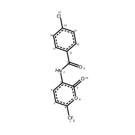 O=C(Nc1ccc(C(F)(F)F)oc1=O)c1ccc(Cl)cc1